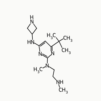 CNCCN(C)c1nc(NC2CNC2)cc(C(C)(C)C)n1